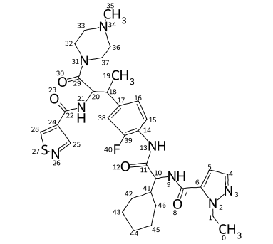 CCn1nccc1C(=O)NC(C(=O)Nc1ccc(C(C)C(NC(=O)c2cnsc2)C(=O)N2CCN(C)CC2)cc1F)C1CCCCC1